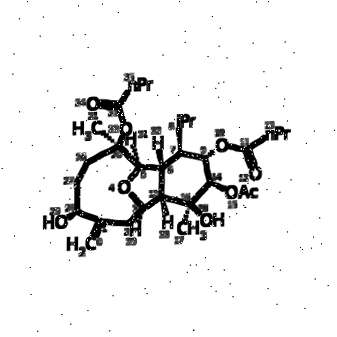 C=C1C[C@H]2O[C@H]([C@@H]3[C@@H](C(C)C)[C@H](OC(=O)CCC)[C@@H](OC(C)=O)[C@@](C)(O)[C@@H]32)[C@](C)(OC(=O)CCC)CC[C@@H]1O